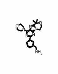 CC1(C)OCCn2c1nc1c(N3CCOCC3)nc(-c3cccc(CN)c3)nc12